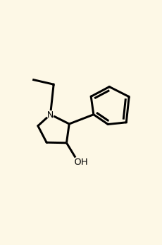 CCN1CCC(O)C1c1ccccc1